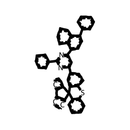 c1ccc(-c2nc(-c3ccc4c(c3)C3(c5ccccc5S4)c4ccccc4-c4ccccc43)cc(-c3ccc(-c4ccccc4)c4ccccc34)n2)cc1